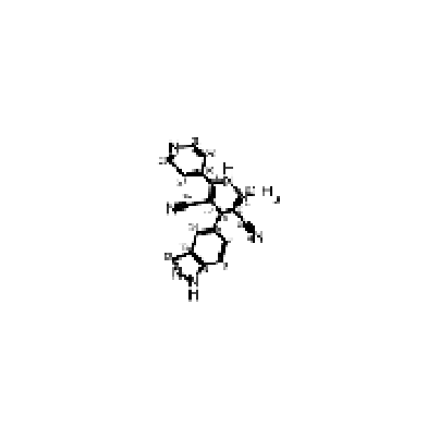 CC1=C(C#N)C(c2ccc3[nH]ncc3c2)C(C#N)=C(c2ccncc2)N1